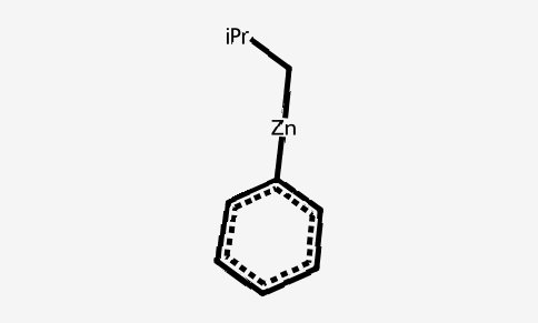 CC(C)[CH2][Zn][c]1ccccc1